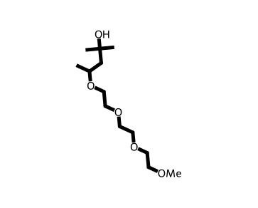 COCCOCCOCCOC(C)CC(C)(C)O